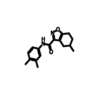 Cc1ccc(NC(=O)c2noc3c2CC(C)CC3)cc1C